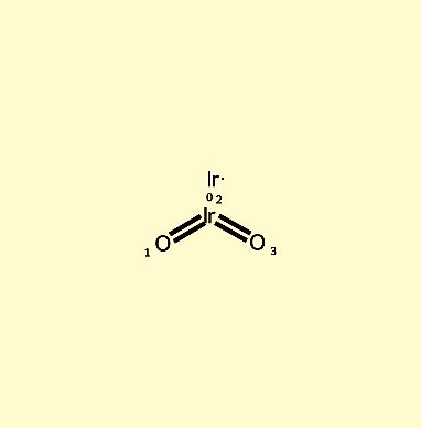 [Ir].[O]=[Ir]=[O]